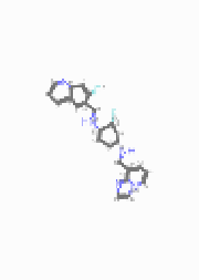 Fc1cc2ncccc2cc1CN[C@@H]1CC[C@@H](NCc2cccn3ccnc23)C[C@@H]1F